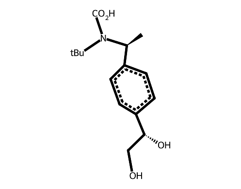 C[C@@H](c1ccc([C@H](O)CO)cc1)N(C(=O)O)C(C)(C)C